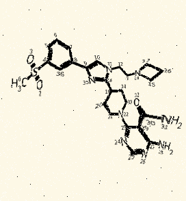 CS(=O)(=O)c1cccc(-c2cn(CCN3CCC3)c(C3CCN(c4ncnc(N)c4C(N)=O)CC3)n2)c1